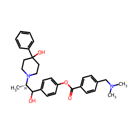 C[C@@H](C(O)c1ccc(OC(=O)c2ccc(CN(C)C)cc2)cc1)N1CCC(O)(c2ccccc2)CC1